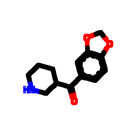 O=C(c1ccc2c(c1)OCO2)C1CCCNC1